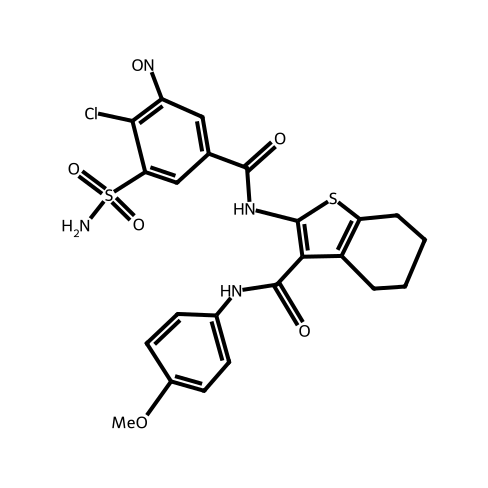 COc1ccc(NC(=O)c2c(NC(=O)c3cc(N=O)c(Cl)c(S(N)(=O)=O)c3)sc3c2CCCC3)cc1